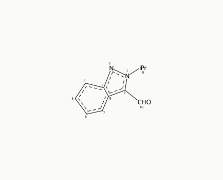 CC(C)n1nc2ccccc2c1C=O